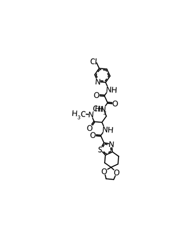 CN(C)C(=O)C(CNC(=O)C(=O)Nc1ccc(Cl)cn1)NC(=O)c1nc2c(s1)CC1(CC2)OCCO1